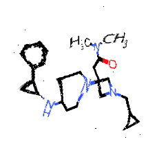 CN(C)C(=O)CC1(N2CCC(N[C@@H]3CC3c3ccccc3)CC2)CN(CC2CC2)C1